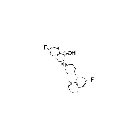 O[C@@H]1c2ccc(F)cc2C[C@H]1N1CCC(c2cc(F)cc3c2OCCC3)CC1